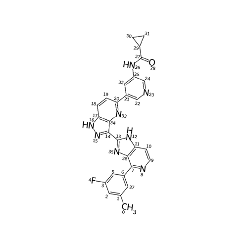 Cc1cc(F)cc(-c2nccc3[nH]c(-c4n[nH]c5ccc(-c6cncc(NC(=O)C7CC7)c6)nc45)nc23)c1